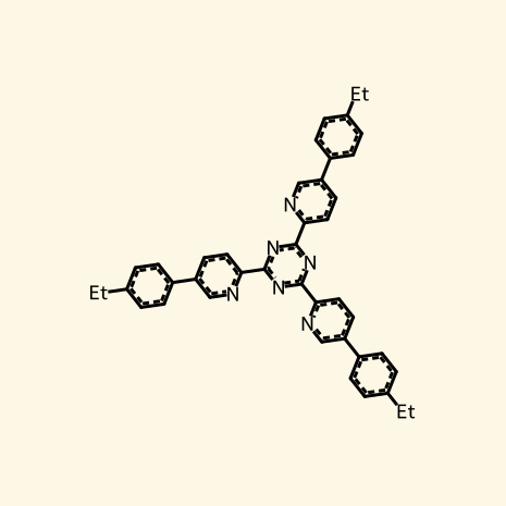 CCc1ccc(-c2ccc(-c3nc(-c4ccc(-c5ccc(CC)cc5)cn4)nc(-c4ccc(-c5ccc(CC)cc5)cn4)n3)nc2)cc1